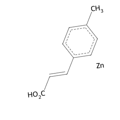 Cc1ccc(C=CC(=O)O)cc1.[Zn]